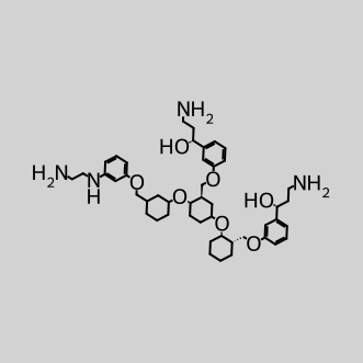 NCCNc1cccc(OCC2CCCC(O[C@H]3CCC(O[C@H]4CCCC[C@H]4COc4cccc([C@H](O)CCN)c4)C[C@@H]3COc3cccc([C@H](O)CCN)c3)C2)c1